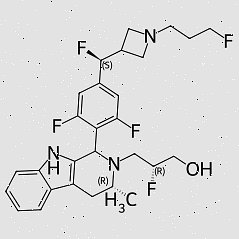 C[C@@H]1Cc2c([nH]c3ccccc23)C(c2c(F)cc([C@@H](F)C3CN(CCCF)C3)cc2F)N1C[C@@H](F)CO